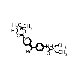 CCN(CC)C(=O)Nc1ccc(C(Br)=C2CCN(C(=O)OC(C)(C)C)CC2)cc1